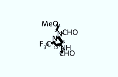 COCCN(C=O)c1cc(NC=O)cc(C(F)(F)F)n1